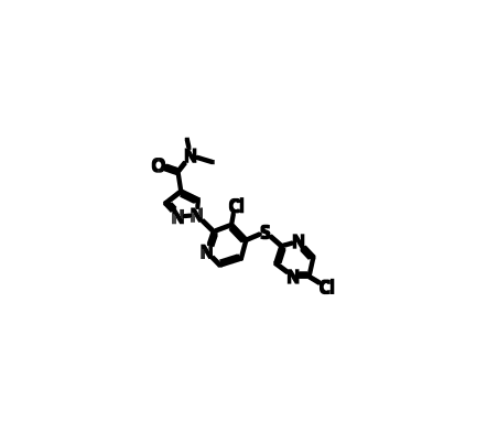 CN(C)C(=O)c1cnn(-c2nccc(Sc3cnc(Cl)cn3)c2Cl)c1